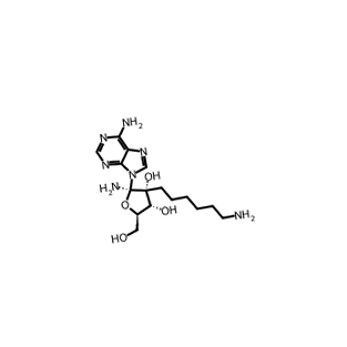 NCCCCCC[C@@]1(O)[C@H](O)[C@@H](CO)O[C@@]1(N)n1cnc2c(N)ncnc21